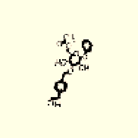 CC(=O)OC[C@H]1O[C@H](Oc2ccccc2)[C@H](O)[C@@H](OCc2ccc(CCO)cc2)[C@@H]1O